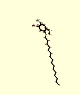 CCCCCCCCCCCCCCCC[n+]1csc2cc(O)c(O)cc21